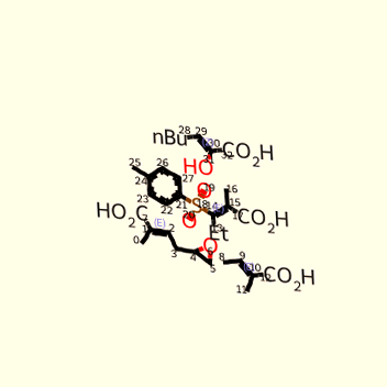 C/C(=C\CC1CO1)C(=O)O.C/C=C(\C)C(=O)O.CC/C(=C(/C)C(=O)O)S(=O)(=O)c1ccc(C)cc1.CCCC/C=C(\O)C(=O)O